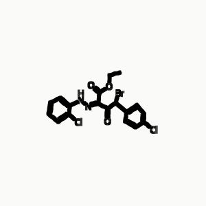 CCOC(=O)C(=NNc1ccccc1Cl)C(=O)C(Br)c1ccc(Cl)cc1